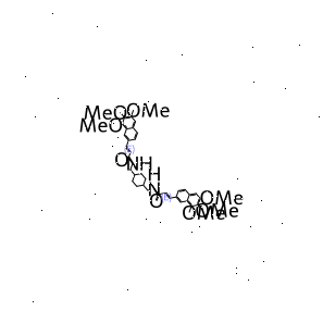 COc1cc2ccc(/C=C/C(=O)NCC3CCC(CNC(=O)/C=C/c4ccc5cc(OC)c(OC)c(OC)c5c4)CC3)cc2c(OC)c1OC